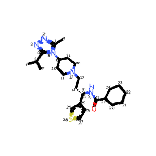 Cc1nnc(C(C)C)n1C1CCN(CC[C@H](NC(=O)C2CCCCC2)c2ccsc2)CC1